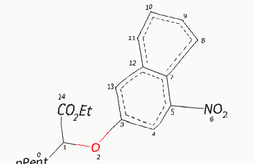 CCCCCC(Oc1cc([N+](=O)[O-])c2ccccc2c1)C(=O)OCC